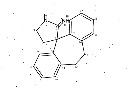 N=C1NCCC12c1ccccc1CCc1ccccc12